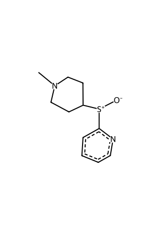 CN1CCC([S+]([O-])c2ccccn2)CC1